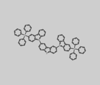 c1ccc([Si](c2ccccc2)(c2ccccc2)c2ccc3c(c2)c2ccccc2n3-c2ccc3sc4ccc(-n5c6ccccc6c6cc([Si](c7ccccc7)(c7ccccc7)c7ccccc7)ccc65)cc4c3c2)cc1